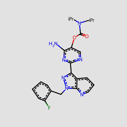 CC(C)N(C(=O)Oc1cnc(-c2nn(Cc3ccccc3F)c3ncccc23)nc1N)C(C)C